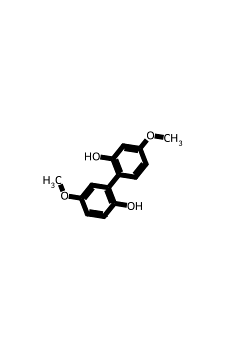 COc1ccc(-c2cc(OC)c[c]c2O)c(O)c1